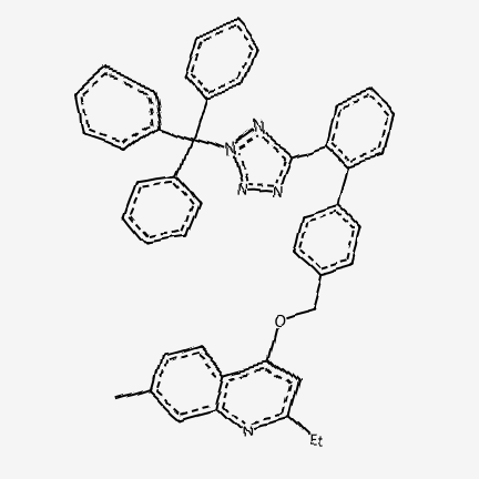 CCc1cc(OCc2ccc(-c3ccccc3-c3nnn(C(c4ccccc4)(c4ccccc4)c4ccccc4)n3)cc2)c2ccc(C)cc2n1